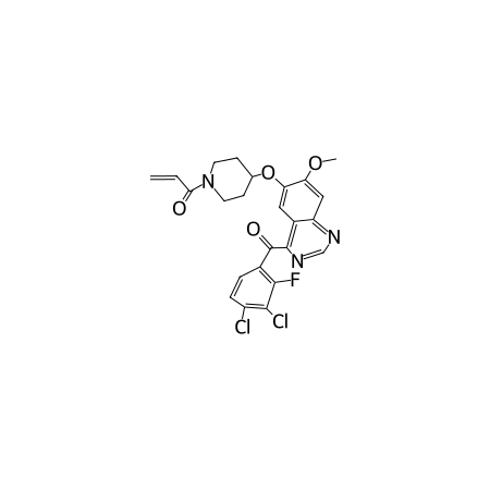 C=CC(=O)N1CCC(Oc2cc3c(C(=O)c4ccc(Cl)c(Cl)c4F)ncnc3cc2OC)CC1